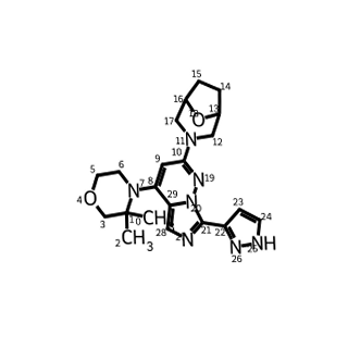 CC1(C)COCCN1c1cc(N2CC3CCC(C2)O3)nn2c(-c3cc[nH]n3)ncc12